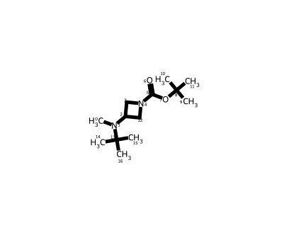 CN(C1CN(C(=O)OC(C)(C)C)C1)C(C)(C)C